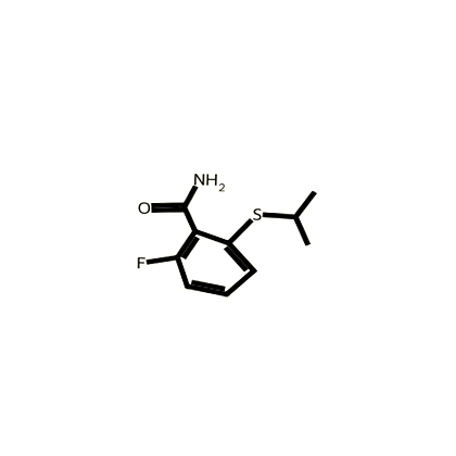 CC(C)Sc1cccc(F)c1C(N)=O